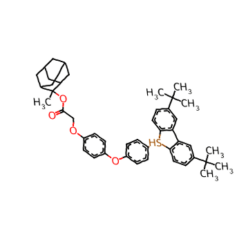 CC(C)(C)c1ccc2c(c1)-c1cc(C(C)(C)C)ccc1[SH]2c1ccc(Oc2ccc(OCC(=O)OC3(C)C4CC5CC(C4)CC3C5)cc2)cc1